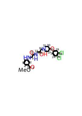 COC(=O)c1cccc(NCC(=O)NC[C@@H](O)CN2CCC(Oc3ccc(Cl)c(Cl)c3)CC2)c1